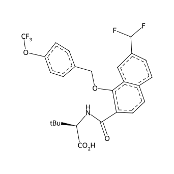 CC(C)(C)[C@@H](NC(=O)c1ccc2ccc(C(F)F)cc2c1OCc1ccc(OC(F)(F)F)cc1)C(=O)O